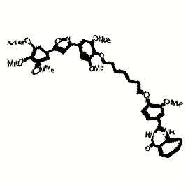 COc1cc(C2NC(=O)c3ccccc3N2)ccc1OCCCCCCCOc1c(OC)cc(-c2cc(-c3cc(OC)c(OC)c(OC)c3)on2)cc1OC